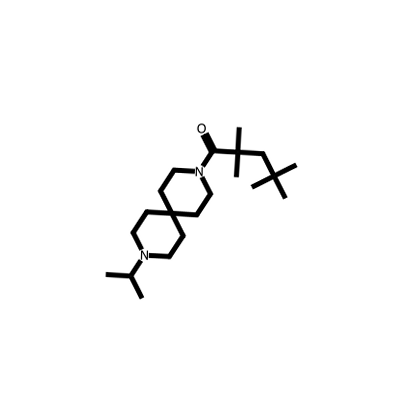 CC(C)N1CCC2(CCN(C(=O)C(C)(C)CC(C)(C)C)CC2)CC1